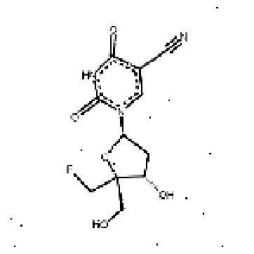 N#Cc1cn([C@H]2C[C@H](O)[C@](CO)(CF)O2)c(=O)[nH]c1=O